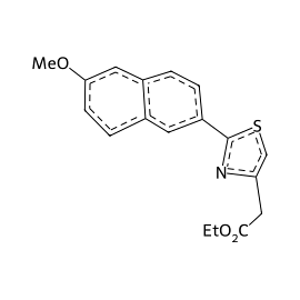 CCOC(=O)Cc1csc(-c2ccc3cc(OC)ccc3c2)n1